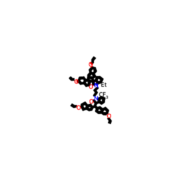 C=CCOc1ccc2cc(C(c3ccc4cc(OCC=C)ccc4c3)C3C(=O)N(CCCCN4C(=O)C(c5ccc6cc(OCC=C)ccc6c5)(c5ccc6cc(OCC=C)ccc6c5)c5cccc(CC)c54)c4c3cccc4C(F)(F)F)ccc2c1